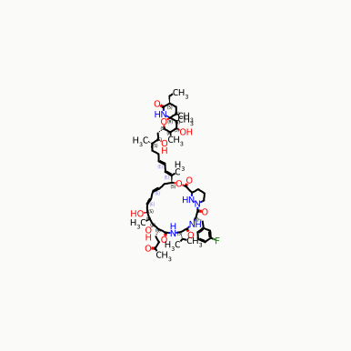 CC[C@H]1C[C@H](C)[C@@]2(NC1=O)O[C@@H](C[C@H](O)[C@@H](C)CC/C=C/C=C(\C)[C@@H]1C/C=C/C=C/[C@H](O)[C@H](C)[C@@H](O)[C@@H](CCC(C)=O)C(=O)N[C@@H](C(C)C)C(=O)N[C@@H](Cc3cccc(F)c3)C(=O)N3CCCC(N3)C(=O)O1)[C@H](C)[C@H](O)[C@@H]2C